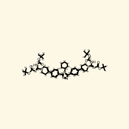 CC(C)(C)OC(=O)/N=C(\NC(=O)OC(C)(C)C)N1CC=C(c2ccc(-c3nnc(-c4ccc(C5=CCN(/C(=N/C(=O)OC(C)(C)C)NC(=O)OC(C)(C)C)CC5)cc4)n3C3CCCCC3)cc2)CC1